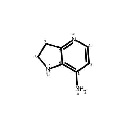 Nc1ccnc2c1NCC2